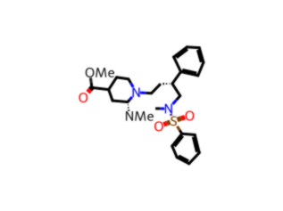 CN[C@@H]1CC(C(=O)OC)CCN1CC[C@@H](CN(C)S(=O)(=O)c1ccccc1)c1ccccc1